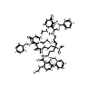 O=C(NCCCC(CCCNC(=O)c1c(OCc2ccccc2)c(=O)ccn1CCO)(CCCNC(=O)c1c(OCc2ccccc2)c(=O)ccn1CCO)[N+](=O)[O-])c1c(OCc2ccccc2)c(=O)ccn1CCO